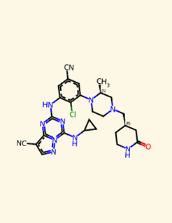 C[C@H]1CN(C[C@@H]2CCNC(=O)C2)CCN1c1cc(C#N)cc(Nc2nc(NC3CC3)n3ncc(C#N)c3n2)c1Cl